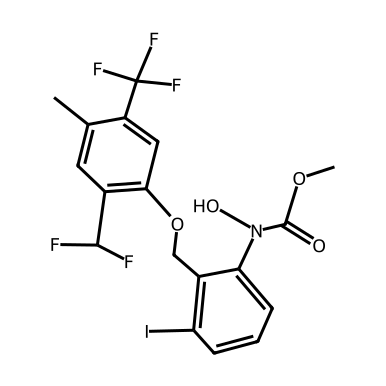 COC(=O)N(O)c1cccc(I)c1COc1cc(C(F)(F)F)c(C)cc1C(F)F